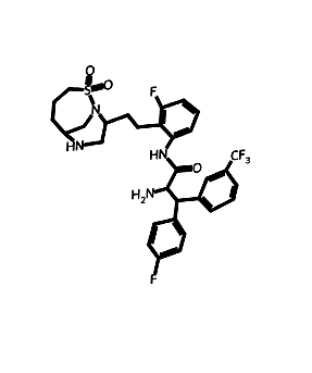 NC(C(=O)Nc1cccc(F)c1CCC1CNC2CCCS(=O)(=O)N1C2)C(c1ccc(F)cc1)c1cccc(C(F)(F)F)c1